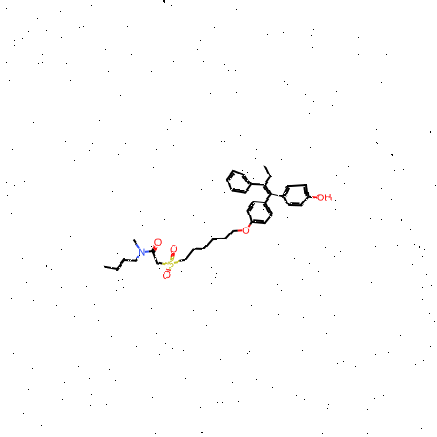 CCCCN(C)C(=O)CS(=O)(=O)CCCCCCOc1ccc(C(=C(CC)c2ccccc2)c2ccc(O)cc2)cc1